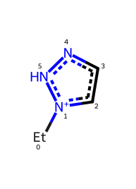 CC[n+]1ccn[nH]1